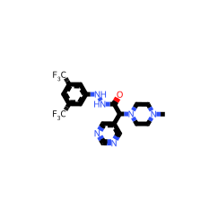 CN1CCN(C(C(=O)NNc2cc(C(F)(F)F)cc(C(F)(F)F)c2)c2cncnc2)CC1